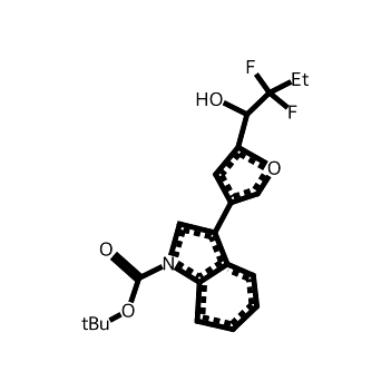 CCC(F)(F)C(O)c1cc(-c2cn(C(=O)OC(C)(C)C)c3ccccc23)co1